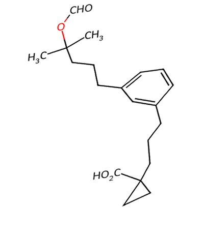 CC(C)(CCCc1cccc(CCCC2(C(=O)O)CC2)c1)OC=O